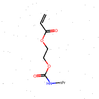 C=CC(=O)OCCOC(=O)NCCC